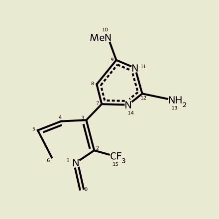 C=N/C(=C(\C=C/C)c1cc(NC)nc(N)n1)C(F)(F)F